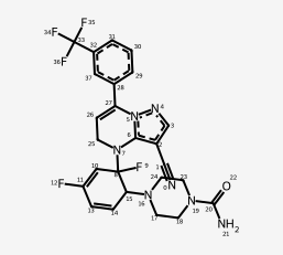 N#Cc1cnn2c1N(C1(F)C=C(F)C=CC1N1CCN(C(N)=O)CC1)CC=C2c1cccc(C(F)(F)F)c1